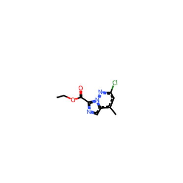 CCOC(=O)c1ncc2c(C)cc(Cl)nn12